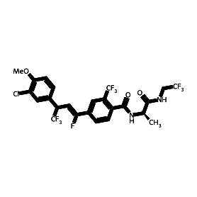 COc1ccc(C(/C=C(\F)c2ccc(C(=O)N[C@H](C)C(=O)NCC(F)(F)F)c(C(F)(F)F)c2)C(F)(F)F)cc1Cl